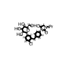 CC(C)N1CC(=O)N(c2ccc(Cc3cc([C@@H]4O[C@H](CO)[C@@H](O)[C@H](O)[C@H]4O)ccc3Cl)cc2)C1=O